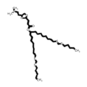 CCCCCSCSCCCCCCCCC(CCCCCCCCSCSCCCCC)OC(=O)CCC1OCC(CCN(C)C)O1